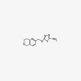 Nc1nnc(OCc2ccc3c(n2)CCOC3)s1